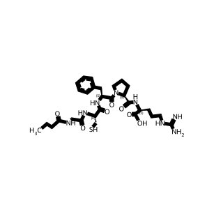 CCCC(=O)NCC(=O)N[C@@H](CS)C(=O)N[C@@H](Cc1ccccc1)C(=O)N1CCC[C@H]1C(=O)N[C@@H](CCCNC(=N)N)C(=O)O